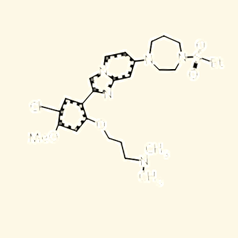 CCS(=O)(=O)N1CCCN(c2ccn3cc(-c4cc(Cl)c(OC)cc4OCCCN(C)C)nc3c2)CC1